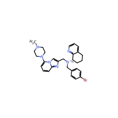 CN1CCN(c2cccc3nc(CN(Cc4ccc(Br)cc4)[C@H]4CCCc5cccnc54)cn23)CC1